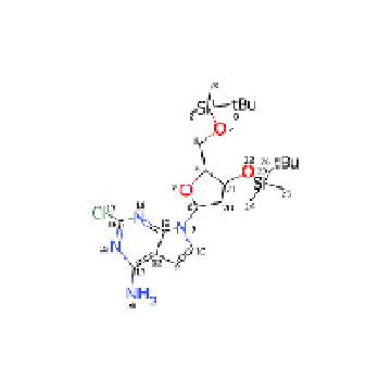 CC(C)(C)[Si](C)(C)OCC1OC(n2ccc3c(N)nc(Cl)nc32)CC1O[Si](C)(C)C(C)(C)C